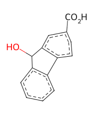 O=C(O)c1ccc2c(c1)C(O)c1ccccc1-2